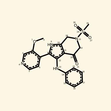 COc1cnccc1-c1[nH]c2c(c1Nc1ccccc1)C(=O)CN(S(C)(=O)=O)C2